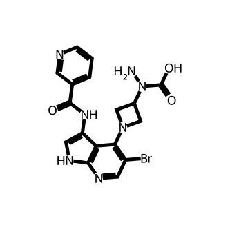 NN(C(=O)O)C1CN(c2c(Br)cnc3[nH]cc(NC(=O)c4cccnc4)c23)C1